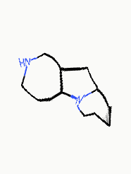 C1CC2CC3CNCCC3N2C1